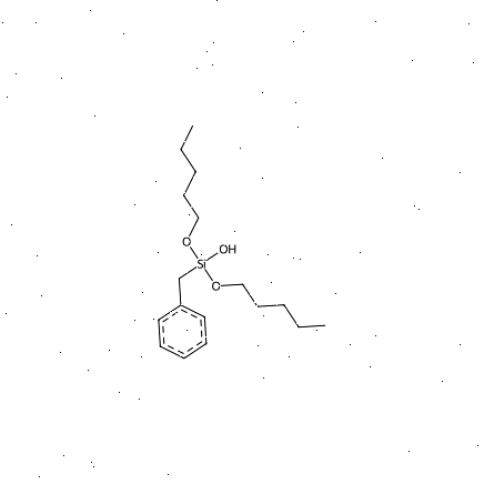 CCCCCO[Si](O)(Cc1ccccc1)OCCCCC